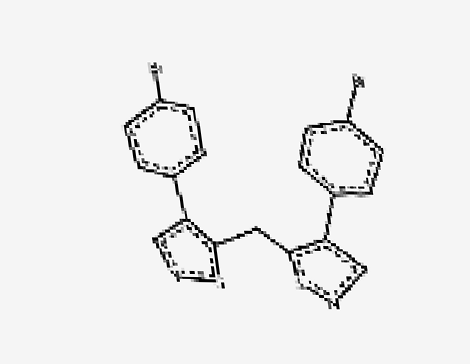 Brc1ccc(-c2cnsc2Cc2sncc2-c2ccc(Br)cc2)cc1